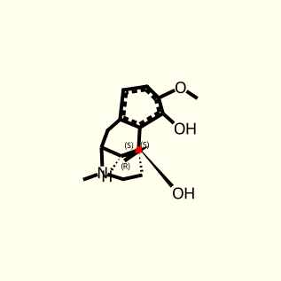 COc1ccc2c(c1O)[C@]13CCN(C)C(C2)[C@@H]1CC[C@H](O)C3